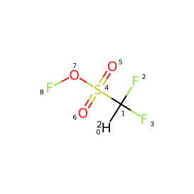 [2H]C(F)(F)S(=O)(=O)OF